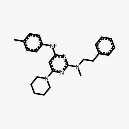 Cc1ccc(Nc2cc(N3CCCCC3)nc(N(C)CCc3ccccc3)n2)cc1